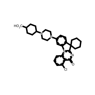 O=C(O)C1CCC(N2CCN(c3ccc4c(c3)-n3c(nc(=O)c5c(Cl)cccc53)C43CCCCC3)CC2)CC1